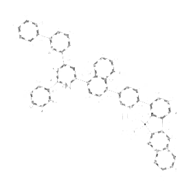 CC1(C)c2cc3ccccc3cc2-c2cccc(-c3ccc(-c4ccc(-c5cc(-c6cccc(-c7ccccc7)c6)nc(-c6ccccc6)n5)c5ccccc45)cc3)c21